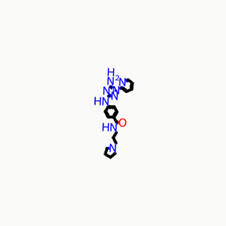 Nc1nc(Nc2ccc(C(=O)NCCCN3CCCC3)cc2)nn1-c1ccccn1